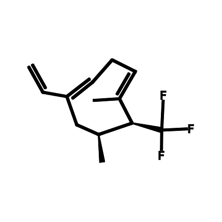 C=C/C1=C\C/C=C(\C)[C@@H](C(F)(F)F)[C@@H](C)C1